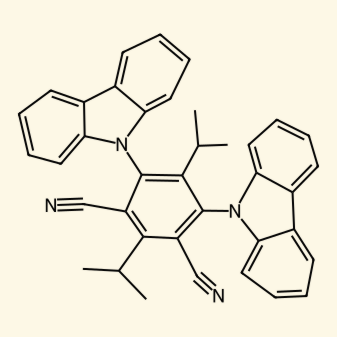 CC(C)c1c(C#N)c(-n2c3ccccc3c3ccccc32)c(C(C)C)c(-n2c3ccccc3c3ccccc32)c1C#N